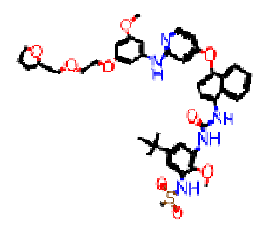 COc1cc(Nc2cc(Oc3ccc(NC(=O)Nc4cc(C(C)(C)C)cc(NS(C)(=O)=O)c4OC)c4ccccc34)ccn2)cc(OCCOCC2CCCO2)c1